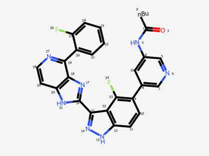 CCCCC(=O)Nc1cncc(-c2ccc3[nH]nc(-c4nc5c(-c6ccccc6F)nccc5[nH]4)c3c2F)c1